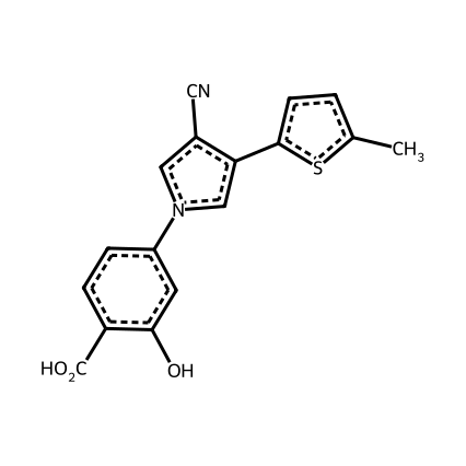 Cc1ccc(-c2cn(-c3ccc(C(=O)O)c(O)c3)cc2C#N)s1